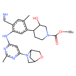 Cc1nc(Nc2cc(C3CCN(C(=O)OC(C)(C)C)CC3O)c(C)cc2C=N)cc(N2CC3CC2CO3)n1